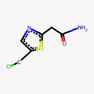 NC(=O)Cc1ncc(CCl)s1